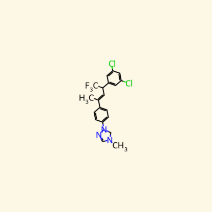 C/C(=C\C(c1cc(Cl)cc(Cl)c1)C(F)(F)F)c1ccc(N2CN(C)C=N2)cc1